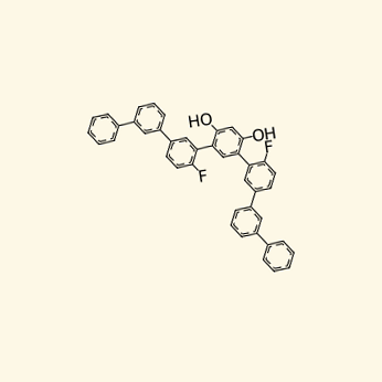 Oc1cc(O)c(-c2cc(-c3cccc(-c4ccccc4)c3)ccc2F)cc1-c1cc(-c2cccc(-c3ccccc3)c2)ccc1F